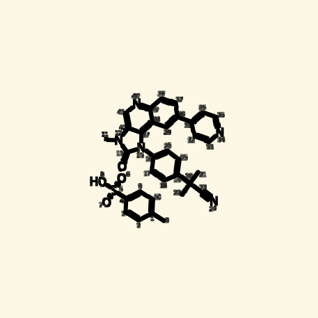 Cc1ccc(S(=O)(=O)O)cc1.Cn1c(=O)n(-c2ccc(C(C)(C)C#N)cc2)c2c3cc(-c4ccncc4)ccc3ncc21